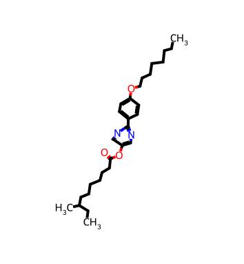 CCCCCCCCOc1ccc(-c2ncc(OC(=O)CCCCCCC(C)CC)cn2)cc1